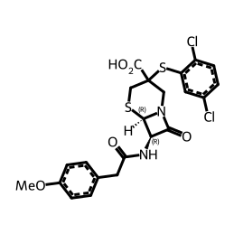 COc1ccc(CC(=O)N[C@@H]2C(=O)N3CC(Sc4cc(Cl)ccc4Cl)(C(=O)O)CS[C@H]23)cc1